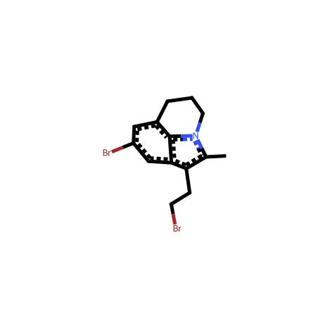 Cc1c(CCBr)c2cc(Br)cc3c2n1CCC3